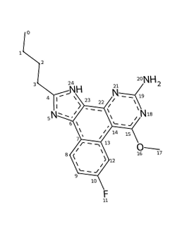 CCCCc1nc2c3ccc(F)cc3c3c(OC)nc(N)nc3c2[nH]1